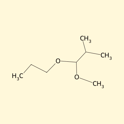 CCCOC(OC)C(C)C